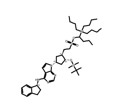 CCCC[N+](CCCC)(CCCC)C(CCC)OS(=O)(=O)CC[C@@H]1C[C@@H](n2ccc3c(N[C@H]4CCc5ccccc54)ncnc32)C[C@H]1O[Si](C)(C)C(C)(C)C